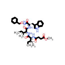 CC[C@H](C)[C@H](NC(=O)CCC(=O)OC)C(=O)N[C@H](C(=O)N[C@@H](Cc1c[nH]c2ccccc12)C(=O)NOCc1ccccc1)[C@@H](C)CC